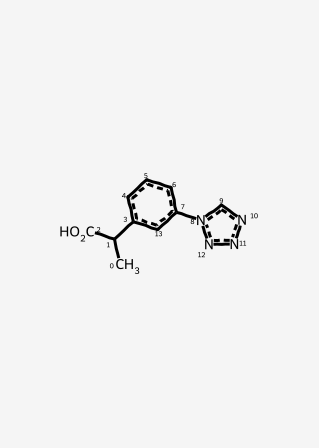 CC(C(=O)O)c1cccc(-n2cnnn2)c1